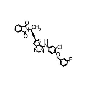 C[C@H](C#Cc1cc2ncnc(Nc3ccc(OCc4cccc(F)c4)c(Cl)c3)c2s1)N1C(=O)c2ccccc2C1=O